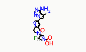 Cc1cc(-c2cnc3c(c2)C(=O)N([C@H]2CN(C(=O)O)C[C@H]2F)CC3)n2ncnc(N)c12